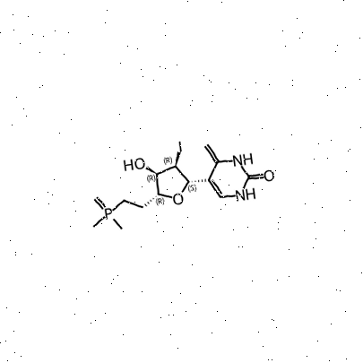 C=C1NC(=O)NC=C1[C@@H]1O[C@H](CCP(=C)(C)C)[C@@H](O)[C@H]1I